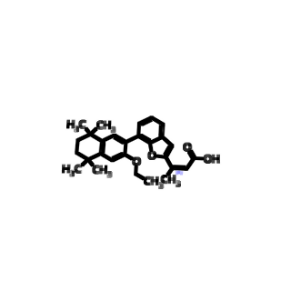 CCOc1cc2c(cc1-c1cccc3cc(/C(C)=C\C(=O)O)oc13)C(C)(C)CCC2(C)C